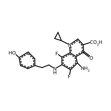 Nc1c(F)c(NCCc2ccc(O)cc2)c(F)c2c1c(=O)c(C(=O)O)cn2C1CC1